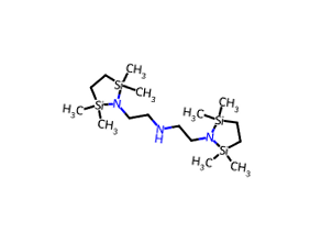 C[Si]1(C)CC[Si](C)(C)N1CCNCCN1[Si](C)(C)CC[Si]1(C)C